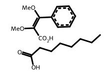 CCCCCCCC(=O)O.COC(C(=O)O)=C(OC)c1ccccc1